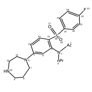 CCCN(C(C)=O)c1cc(N2CCCNCC2)ccc1S(=O)(=O)c1ccc(F)cc1